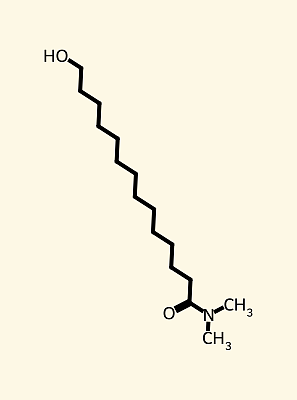 CN(C)C(=O)CCCCCCCCCCCCCO